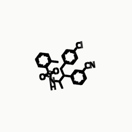 Cc1ccccc1S(=O)(=O)NC(C)C(Cc1ccc(Cl)cc1)c1cccc(C#N)c1